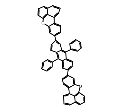 c1ccc(-c2c3ccc(-c4ccc5c(c4)Oc4cccc6cccc-5c46)cc3c(-c3ccccc3)c3ccc(-c4ccc5c(c4)Oc4cccc6cccc-5c46)cc23)cc1